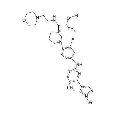 CCOC(C)C(NCCN1CCOCC1)[C@@H]1CCCN(c2ccc(Nc3ncc(C)c(-c4cnn(C(C)C)c4)n3)cc2F)C1